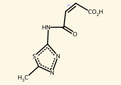 Cc1nnc(NC(=O)/C=C\C(=O)O)s1